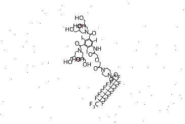 O=C(COCC(=O)N1CCN(S(=O)(=O)C(F)(F)C(F)(F)C(F)(F)C(F)(F)C(F)(F)C(F)(F)C(F)(F)C(F)(F)F)CC1)Nc1c(I)c(C(=O)N(CC(O)CO)CC(O)CO)c(I)c(C(=O)N(CC(O)CO)CC(O)CO)c1I